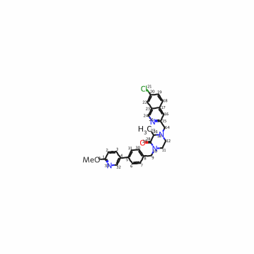 COc1ccc(-c2ccc(CN3CCN(Cc4cc5ccc(Cl)cc5cn4)C(C)C3=O)cc2)cn1